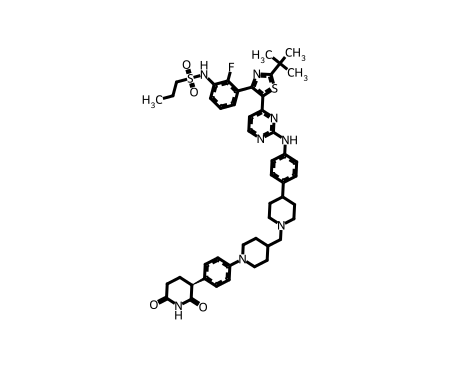 CCCS(=O)(=O)Nc1cccc(-c2nc(C(C)(C)C)sc2-c2ccnc(Nc3ccc(C4CCN(CC5CCN(c6ccc([C@@H]7CCC(=O)NC7=O)cc6)CC5)CC4)cc3)n2)c1F